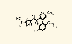 COc1ccc(Cl)c(F)c1-c1cc(C)ncc1C(=O)Nc1nnc(C(=O)O)s1